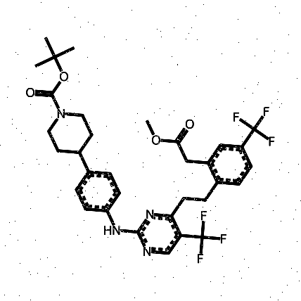 COC(=O)Cc1cc(C(F)(F)F)ccc1CCc1nc(Nc2ccc(C3CCN(C(=O)OC(C)(C)C)CC3)cc2)ncc1C(F)(F)F